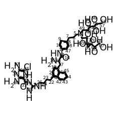 C[C@@](O)(CN(CCCc1ccc(NC(=O)[C@@H](N)Cc2ccc(CCCCNC(=N)NC(=O)c3nc(Cl)c(N)nc3N)c3ccccc23)cc1)CC[C@@H](O)[C@H](O)[C@H](O)CO)[C@]1(O)C[C@@]1(O)[C@H](O)CO